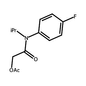 CC(=O)OCC(=O)N(c1ccc(F)cc1)C(C)C